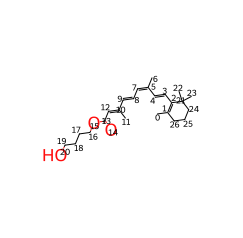 CC1=C(/C=C/C(C)=C\C=C\C(C)=C\C(=O)OCCCCO)C(C)(C)CCC1